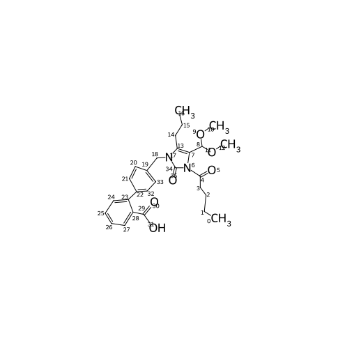 CCCCC(=O)n1c(C(OC)OC)c(CCC)n(Cc2ccc(-c3ccccc3C(=O)O)cc2)c1=O